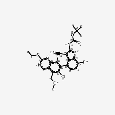 CCSc1ncc2c(COC)c(Cl)c(-c3ccc(F)c4sc(NC(=O)OC(C)(C)C)c(C#N)c34)c(F)c2n1